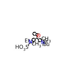 CCC(C)[N+](CC)=C1C=CC(=C(c2ccc(N(CC)CCCS(=O)(=O)O)c(C)c2)c2occ3ccccc23)C=C1C